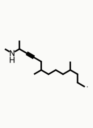 [CH2]CCC(C)CCCC(C)CC#CC(C)NC